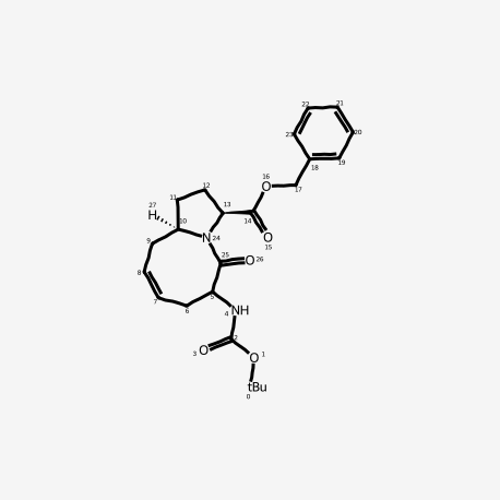 CC(C)(C)OC(=O)NC1C/C=C\C[C@H]2CC[C@@H](C(=O)OCc3ccccc3)N2C1=O